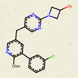 COc1ncc(Cc2cnc(N3CC(O)C3)nc2)cc1-c1cccc(Cl)c1